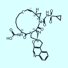 O=C(O)N[C@H]1CCCCC/C=C\[C@@H]2C[C@@]2(C(=O)NS(=O)(=O)C2CC2)NC(=O)[C@@H]2C[C@]3(CCc4c(cnc5ccccc45)O3)CN2C1=O